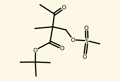 CC(=O)C(C)(COS(C)(=O)=O)C(=O)OC(C)(C)C